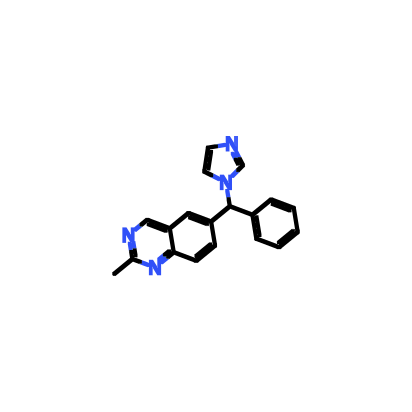 Cc1ncc2cc(C(c3ccccc3)n3ccnc3)ccc2n1